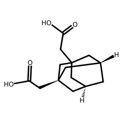 O=C(O)CC12C[C@H]3C[C@@H](C1)C[C@@](CC(=O)O)(C2)C3